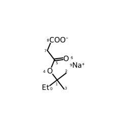 CCC(C)(C)OC(=O)CC(=O)[O-].[Na+]